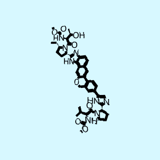 CC[C@H]1CC[C@@H](c2nc3ccc4cc5c(cc4c3[nH]2)OCc2cc(-c3cnc([C@@H]4CC[C@H](C)N4C(=O)[C@@H](NC(=O)OC)C(C)C)[nH]3)ccc2-5)N1C(=O)[C@@H](NC(=O)OC)[C@@H](C)O